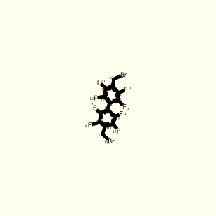 Fc1c(F)c(-c2c(F)c(F)c(CBr)c(F)c2F)c(F)c(F)c1CBr